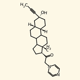 CC#C[C@@]1(O)CC[C@@H]2C3CC[C@@]4(C)C(CC[C@@H]4C(=O)CN4C=C=NC=C4)C3CC[C@@H]2C1